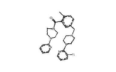 Cc1ccc(CN2CCN(c3ncccc3Cl)CC2)cc1C(=O)N1CCN(c2ccccn2)CC1